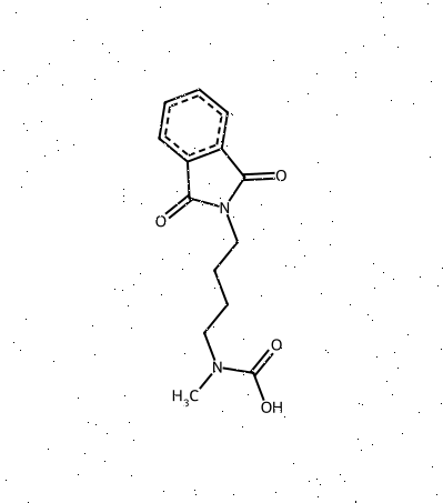 CN(CCCCN1C(=O)c2ccccc2C1=O)C(=O)O